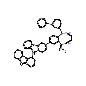 C=C1/C=C\C=C/N(c2cccc(-c3ccccc3)c2)c2ccc(-c3ccc4c(c3)c3ccccc3n4-c3cccc4oc5ccccc5c34)cc21